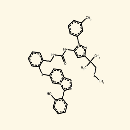 CSCC(C)(C)c1cc(NC(=O)NCc2ccccc2Sc2ccc3nnc(-c4ccccc4O)n3c2)n(-c2cccc(C)c2)n1